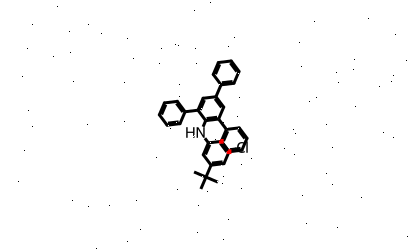 CC(C)(C)c1cc(Cl)cc(Nc2c(-c3ccccc3)cc(-c3ccccc3)cc2-c2ccccc2)c1